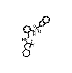 O=S(=O)(Nc1ccccc1CNC(CC1CCCCC1)C(F)(F)F)c1cc2ccccc2s1